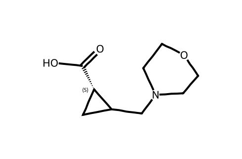 O=C(O)[C@H]1CC1CN1CCOCC1